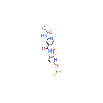 O=C(NCc1ccc(OCC(F)F)nc1O)c1ccnc(NC(=O)C2CC2)c1